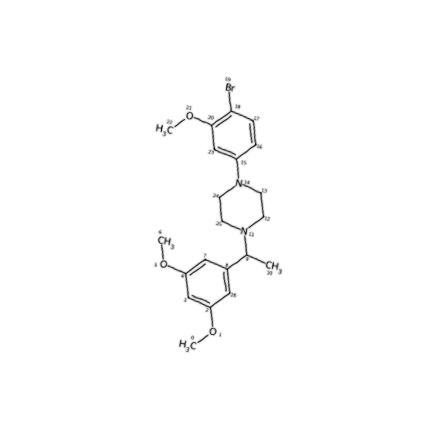 COc1cc(OC)cc(C(C)N2CCN(c3ccc(Br)c(OC)c3)CC2)c1